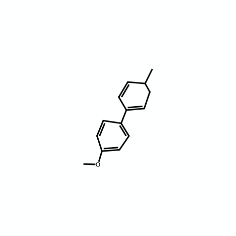 COc1ccc(C2=CCC(C)C=C2)cc1